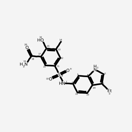 CCc1c[nH]c2cc(NS(=O)(=O)c3cc(C)c(O)c(C(N)=O)c3)ccc12